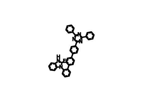 CCC1Nc2ccccc2N1c1ccccc1-c1ccc(-c2ccc(-c3nc(-c4ccccc4)nc(-c4ccccc4)n3)cc2)cc1